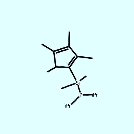 CC1=C(C)C(C)C([Si](C)(C)P(C(C)C)C(C)C)=C1C